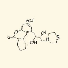 Cl.O=c1oc2cccc(C(O)C(O)CN3CCSCC3)c2c2c1CCCC2